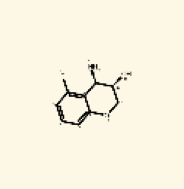 N[C@@H]1c2c(F)cccc2OC[C@@H]1O